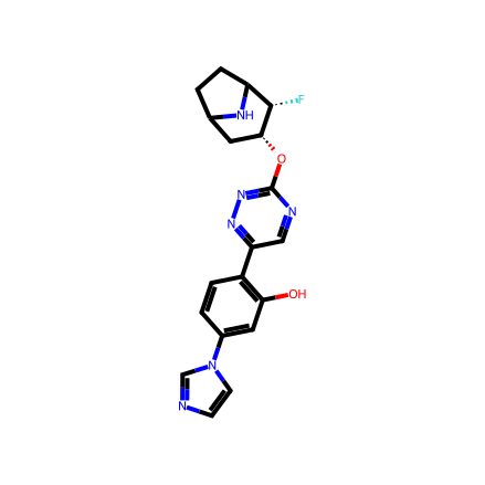 Oc1cc(-n2ccnc2)ccc1-c1cnc(O[C@@H]2CC3CCC(N3)[C@@H]2F)nn1